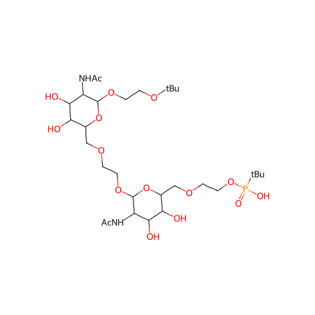 CC(=O)NC1C(OCCOCC2OC(OCCOC(C)(C)C)C(NC(C)=O)C(O)C2O)OC(COCCOP(=O)(O)C(C)(C)C)C(O)C1O